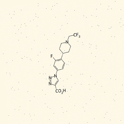 O=C(O)c1cn(-c2ccc(C3CCN(CC(F)(F)F)CC3)c(F)c2)nn1